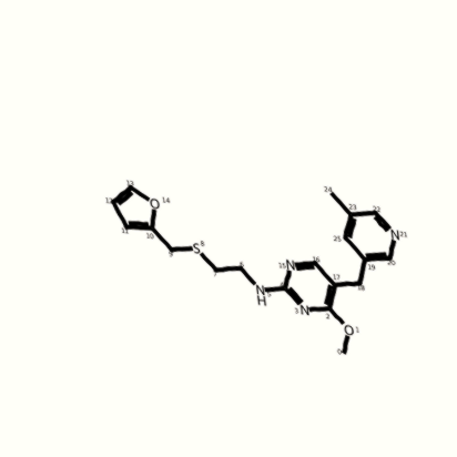 COc1nc(NCCSCc2ccco2)ncc1Cc1cncc(C)c1